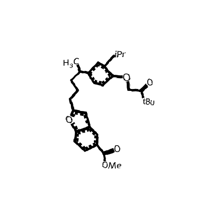 COC(=O)c1ccc2oc(CCCC(C)c3ccc(OCC(=O)C(C)(C)C)c(C(C)C)c3)cc2c1